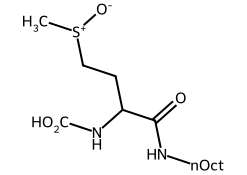 CCCCCCCCNC(=O)C(CC[S+](C)[O-])NC(=O)O